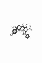 CC(C)C(NC(=O)NC1CCCC1)C(=O)N1CCC(O)(c2ccc(Cl)cc2)C(C)(C)C1